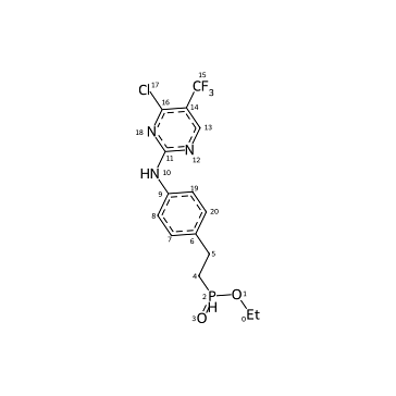 CCO[PH](=O)CCc1ccc(Nc2ncc(C(F)(F)F)c(Cl)n2)cc1